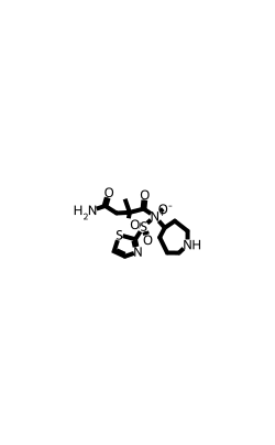 CC(C)(CC(N)=O)C(=O)[N+]([O-])(C1CCCNCC1)S(=O)(=O)c1nccs1